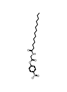 CCCCCCCCCCCCCC(=O)NCC(=O)Oc1ccc([N+](=O)[O-])cc1